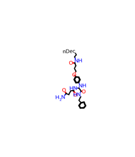 CCCCCCCCCCCCNC(=O)CCCOc1ccc(NC(NC(=O)CCC(N)=O)C(=O)NCCc2ccccc2)cc1